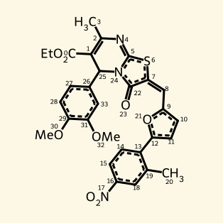 CCOC(=O)C1=C(C)N=c2sc(=Cc3ccc(-c4ccc([N+](=O)[O-])cc4C)o3)c(=O)n2C1c1ccc(OC)c(OC)c1